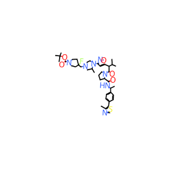 Cc1ncsc1-c1ccc(C(C)NC(=O)C2CCCN2C(=O)C(c2cc(N3CCN(CC4(F)CCN(C(=O)OC(C)(C)C)CC4)CC3C)no2)C(C)C)cc1